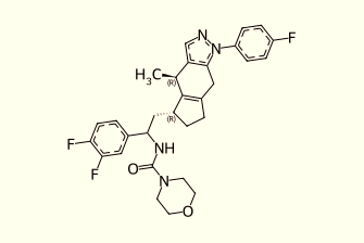 C[C@@H]1C2=C(CC[C@@H]2CC(NC(=O)N2CCOCC2)c2ccc(F)c(F)c2)Cc2c1cnn2-c1ccc(F)cc1